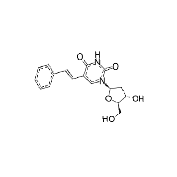 O=c1[nH]c(=O)n([C@H]2C[C@H](O)[C@@H](CO)O2)cc1/C=C/c1ccccc1